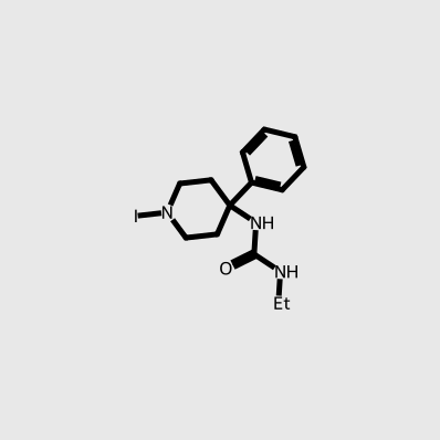 CCNC(=O)NC1(c2ccccc2)CCN(I)CC1